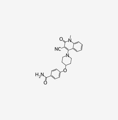 Cn1c(=O)c(C#N)c(N2CCC(Oc3ccc(C(N)=O)cc3)CC2)c2ccccc21